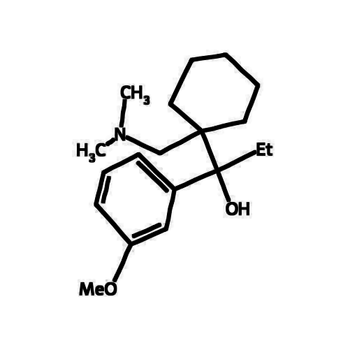 CCC(O)(c1cccc(OC)c1)C1(CN(C)C)CCCCC1